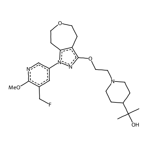 COc1ncc(-n2nc(OCCN3CCC(C(C)(C)O)CC3)c3c2CCOCC3)cc1CF